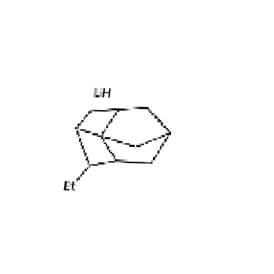 CCC1C2CC3CC(C2)CC1C3.[LiH]